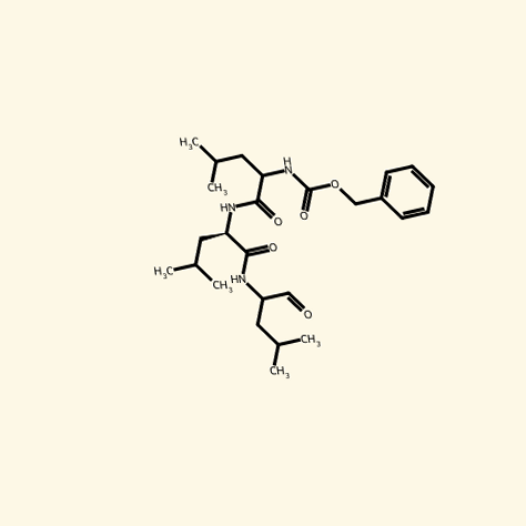 CC(C)CC(C=O)NC(=O)[C@@H](CC(C)C)NC(=O)C(CC(C)C)NC(=O)OCc1ccccc1